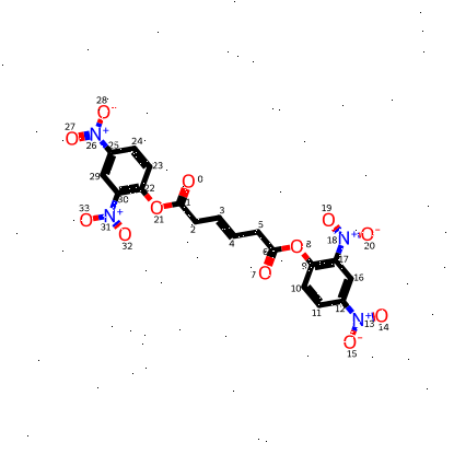 O=C(CC=CCC(=O)Oc1ccc([N+](=O)[O-])cc1[N+](=O)[O-])Oc1ccc([N+](=O)[O-])cc1[N+](=O)[O-]